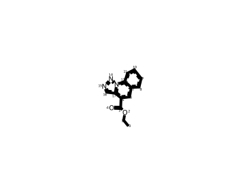 CCOC(=O)c1cc2ccccc2n2nncc12